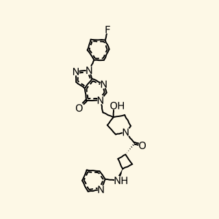 O=c1c2cnn(-c3ccc(F)cc3)c2ncn1CC1(O)CCN(C(=O)[C@H]2C[C@H](Nc3ccccn3)C2)CC1